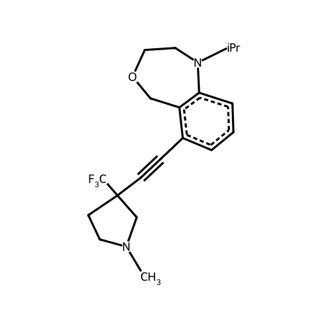 CC(C)N1CCOCc2c(C#CC3(C(F)(F)F)CCN(C)C3)cccc21